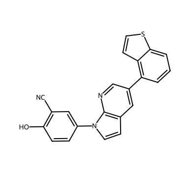 N#Cc1cc(-n2ccc3cc(-c4cccc5sccc45)cnc32)ccc1O